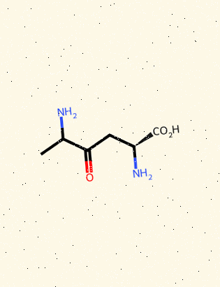 CC(N)C(=O)C[C@H](N)C(=O)O